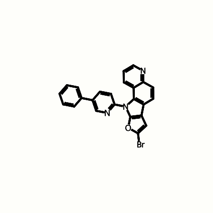 Brc1cc2c3ccc4ncccc4c3n(-c3ccc(-c4ccccc4)cn3)c2o1